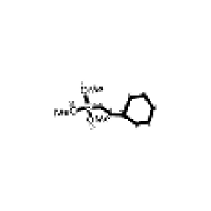 CO[Si](CC[C]1CCCCC1)(OC)OC